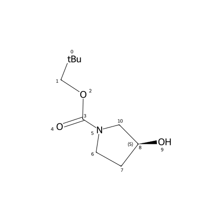 CC(C)(C)COC(=O)N1CC[C@H](O)C1